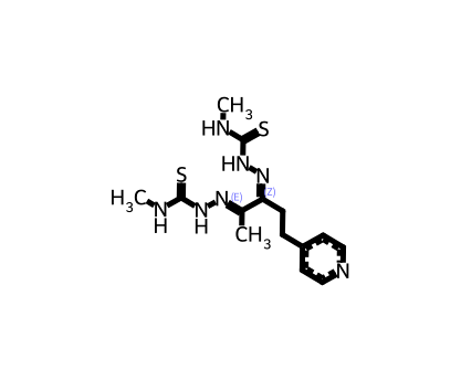 CNC(=S)N/N=C(CCc1ccncc1)\C(C)=N\NC(=S)NC